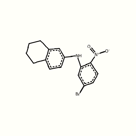 O=[N+]([O-])c1ccc(Br)cc1Nc1ccc2c(c1)CCCC2